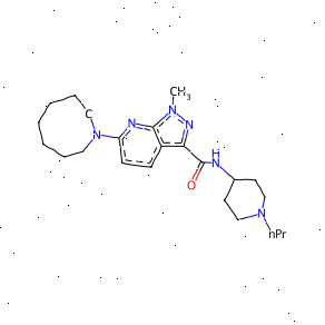 CCCN1CCC(NC(=O)c2nn(C)c3nc(N4CCCCCCC4)ccc23)CC1